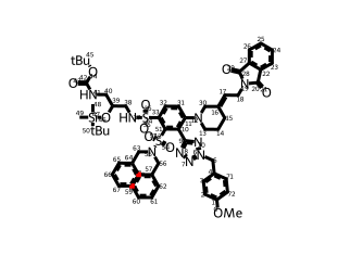 COc1ccc(Cn2nnc(-c3c(N4CCCC(=CCN5C(=O)c6ccccc6C5=O)C4)ccc(S(=O)(=O)NCC(CNC(=O)OC(C)(C)C)O[Si](C)(C)C(C)(C)C)c3S(=O)(=O)N(Cc3ccccc3)Cc3ccccc3)n2)cc1